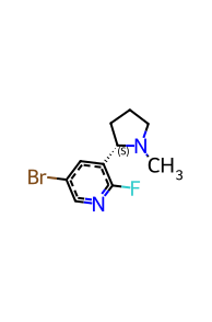 CN1CCC[C@H]1c1cc(Br)cnc1F